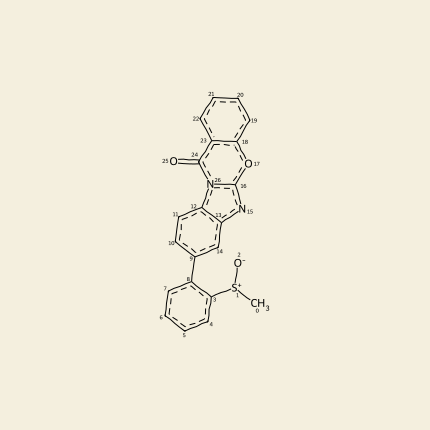 C[S+]([O-])c1ccccc1-c1ccc2c(c1)nc1oc3ccccc3c(=O)n12